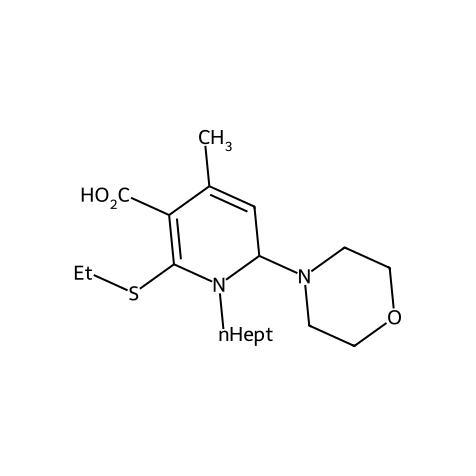 CCCCCCCN1C(SCC)=C(C(=O)O)C(C)=CC1N1CCOCC1